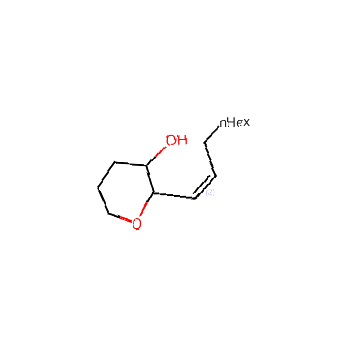 CCCCCCC/C=C\C1OCCCC1O